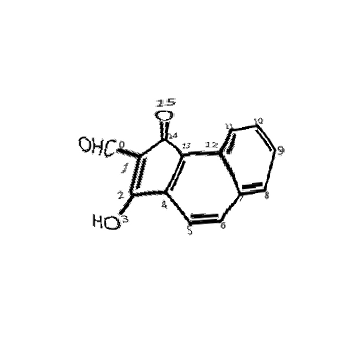 O=CC1=C(O)c2ccc3ccccc3c2C1=O